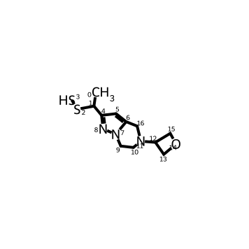 CC(SS)c1cc2n(n1)CCN(C1COC1)C2